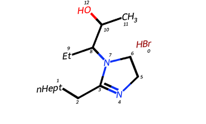 Br.CCCCCCCCC1=NCCN1C(CC)C(C)O